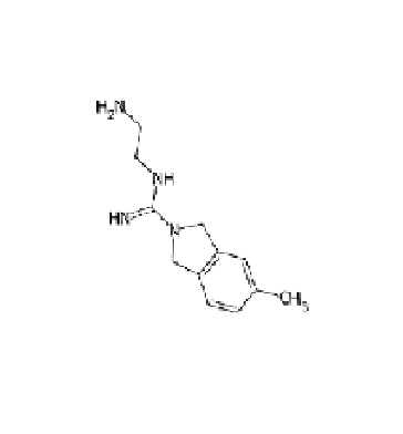 Cc1ccc2c(c1)CN(C(=N)NCCN)C2